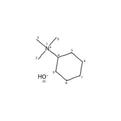 C[N+](C)(C)C1CCCCC1.[OH-]